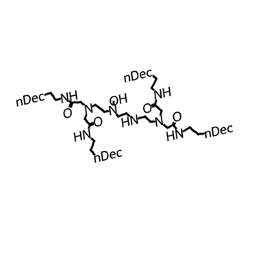 CCCCCCCCCCCCNC(=O)CN(CCNCCN(O)CCN(CC(=O)NCCCCCCCCCCCC)CC(=O)NCCCCCCCCCCCC)CC(=O)NCCCCCCCCCCCC